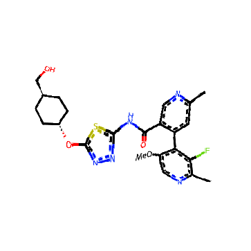 COc1cnc(C)c(F)c1-c1cc(C)ncc1C(=O)Nc1nnc(O[C@H]2CC[C@H](CO)CC2)s1